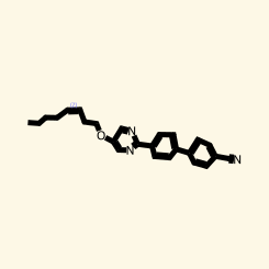 CCCC/C=C\CCOc1cnc(-c2ccc(-c3ccc(C#N)cc3)cc2)nc1